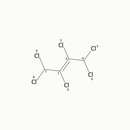 ClC(=C(Cl)C(Cl)Cl)C(Cl)Cl